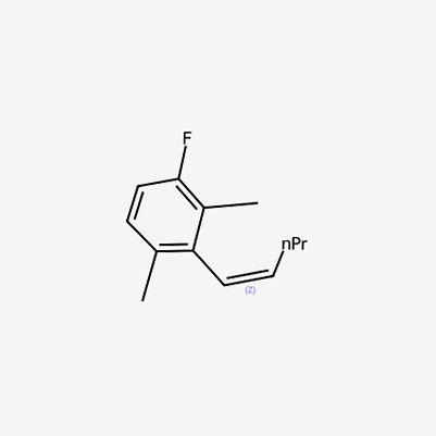 CCC/C=C\c1c(C)ccc(F)c1C